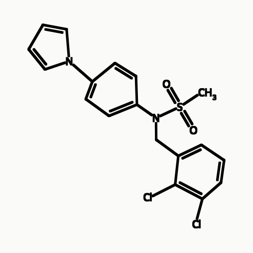 CS(=O)(=O)N(Cc1cccc(Cl)c1Cl)c1ccc(-n2cccc2)cc1